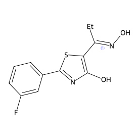 CC/C(=N\O)c1sc(-c2cccc(F)c2)nc1O